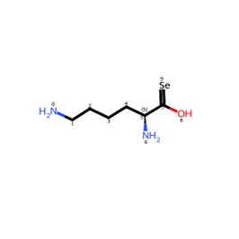 NCCCC[C@H](N)C(O)=[Se]